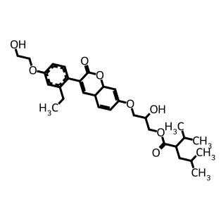 CCc1cc(OCCO)ccc1C1=CC2C=CC(OCC(O)COC(=O)C(CC(C)C)C(C)C)=CC2OC1=O